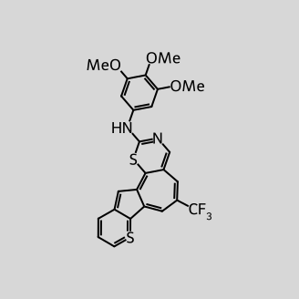 COc1cc(NC2=NC=c3cc(C(F)(F)F)cc4c5c(cc-4c3S2)C=CC=S=5)cc(OC)c1OC